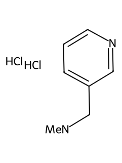 CNCc1cccnc1.Cl.Cl